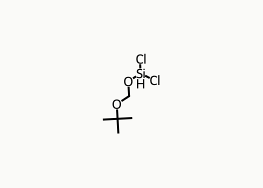 CC(C)(C)OCO[SiH](Cl)Cl